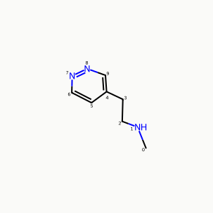 CNCCc1ccnnc1